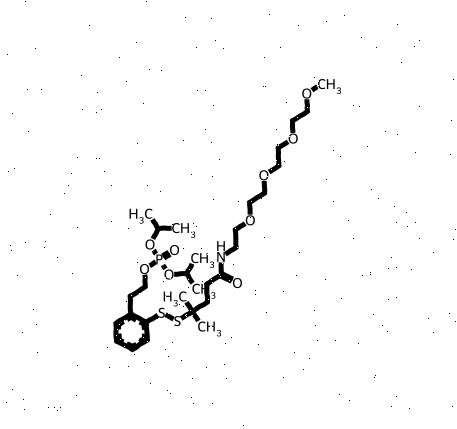 COCCOCCOCCOCCNC(=O)CCC(C)(C)SSc1ccccc1CCOP(=O)(OC(C)C)OC(C)C